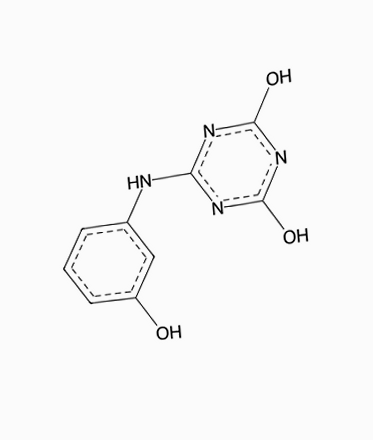 Oc1cccc(Nc2nc(O)nc(O)n2)c1